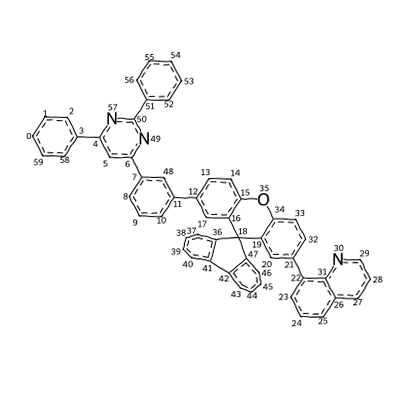 c1ccc(-c2cc(-c3cccc(-c4ccc5c(c4)C4(c6cc(-c7cccc8cccnc78)ccc6O5)c5ccccc5-c5ccccc54)c3)nc(-c3ccccc3)n2)cc1